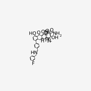 CN(C)[C@H]1C(O)=C(C(N)=O)C(=O)[C@@]2(O)C(O)=C3C(=O)c4c(O)ccc(-c5ccc(CNCc6cccc(F)c6)cc5)c4C[C@@H]3C[C@@H]12